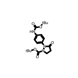 CC(C)(C)OC(=O)Nc1ccc(N2C(=O)CCN2C(=O)OC(C)(C)C)cc1